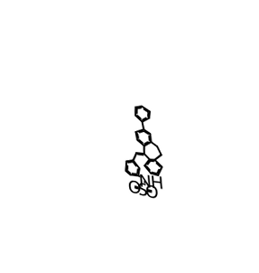 CS(=O)(=O)Nc1cccc(/C=C2\c3ccccc3CCc3cc(-c4ccccc4)ccc32)c1